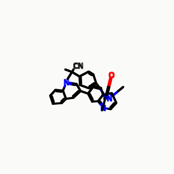 CN1C(=O)N(c2ccc(C(C)(C)C#N)cc2)C23C=CC(c4cnc5ccccc5c4)=CC2=NC=CC13